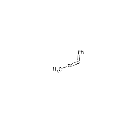 CB=S=P